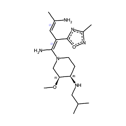 CO[C@H]1CN(/C(N)=C(/C=C(/C)N)c2nc(C)no2)CC[C@H]1NCC(C)C